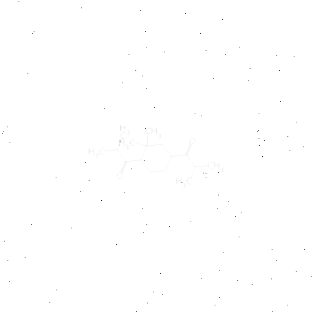 CC(C)C(=O)C1CCC(C(=O)C(C)C)C(C)(C)C1